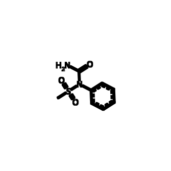 CS(=O)(=O)N(C(N)=O)c1ccccc1